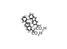 CC(C(=O)O)c1ccc2c(c1)Cc1ccccc1-2.CC(C(=O)O)c1ccc2sc(-c3ccccc3)nc2c1